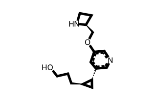 OCCC[C@@H]1C[C@H]1c1cncc(OC[C@@H]2CCN2)c1